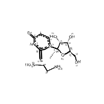 C[C@@]1(n2ccc(=O)[nH]c2=S)O[C@H](CO)[C@@H](O)[C@H]1O.NCCS(=O)(=O)O